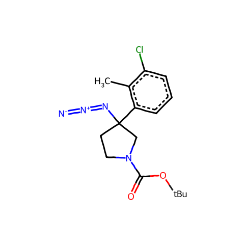 Cc1c(Cl)cccc1C1(N=[N+]=[N-])CCN(C(=O)OC(C)(C)C)C1